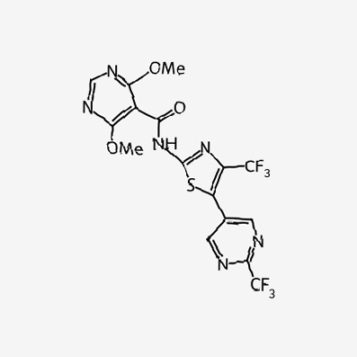 COc1ncnc(OC)c1C(=O)Nc1nc(C(F)(F)F)c(-c2cnc(C(F)(F)F)nc2)s1